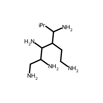 CC(C)C(N)C(CCN)[C](N)C(N)CN